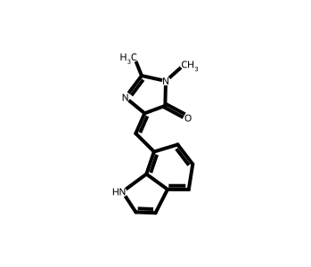 CC1=NC(=Cc2cccc3cc[nH]c23)C(=O)N1C